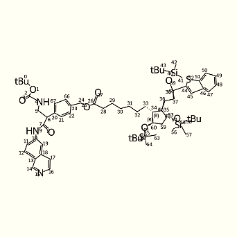 CC(C)(C)OC(=O)NCC(C(=O)Nc1ccc2cnccc2c1)c1ccc(COC(=O)CCCCCC[C@@H]2[C@@H](CC[C@@H](O[Si](C)(C)C(C)(C)C)c3cc4ccccc4s3)[C@H](O[Si](C)(C)C(C)(C)C)C[C@H]2O[Si](C)(C)C(C)(C)C)cc1